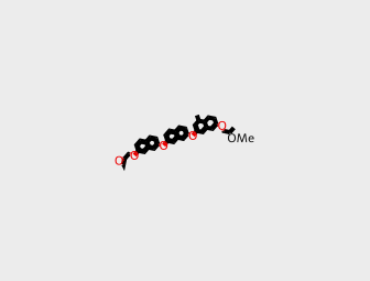 COC(C)COC1=CC2=CC(Oc3ccc4ccc(Oc5ccc6ccc(OCC7CO7)cc6c5)cc4c3)=CC(C)C2CC1